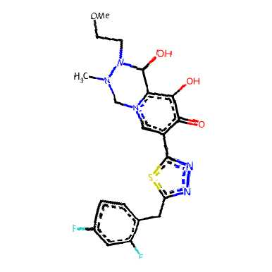 COCCN1C(O)c2c(O)c(=O)c(-c3nnc(Cc4ccc(F)cc4F)s3)cn2CN1C